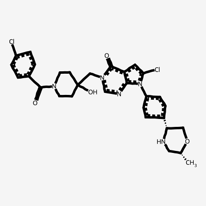 C[C@@H]1CN[C@H](c2ccc(-n3c(Cl)cc4c(=O)n(CC5(O)CCN(C(=O)c6ccc(Cl)cc6)CC5)cnc43)cc2)CO1